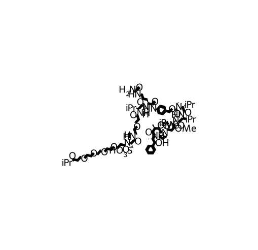 CC[C@@H](C)[C@H]([C@H](CC(=O)N1CCC[C@@H]1[C@@H](OC)[C@H](C)C(=O)N[C@@H](C)[C@H](O)c1ccccc1)OC)N(C)C(=O)C(NC(=O)[C@@H](C(C)C)N(C)C(=O)OCc1ccc(NC(=O)[C@H](CCCNC(N)=O)NC(=O)[C@@H](NC(=O)CCOCCNC(=O)[C@H](CS(=O)(=O)O)NC(=O)CCOCCOCCOCCOCCC(=O)C(C)C)C(C)C)cc1)C(C)C